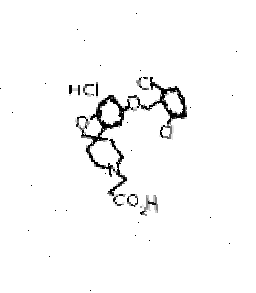 Cl.O=C(O)CCN1CCC2(CC1)COc1ccc(OCc3c(Cl)cccc3Cl)cc12